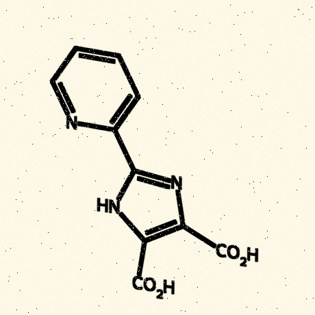 O=C(O)c1nc(-c2ccccn2)[nH]c1C(=O)O